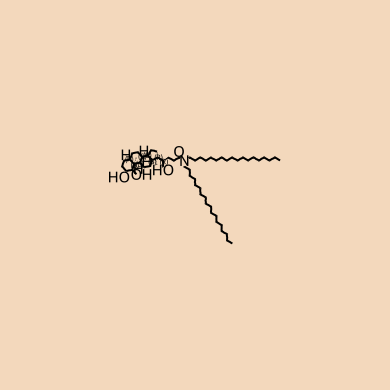 CCCCCCCCCCCCCCCCCCN(CCCCCCCCCCCCCCCCCC)C(=O)CC[C@@H](CO)[C@H]1CC[C@H]2[C@@H]3CC[C@@H]4CCC(O)C(O)[C@]4(C)[C@H]3CC[C@]12C